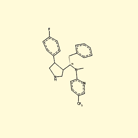 CN(c1ccc(C(F)(F)F)cn1)[C@@H](Cc1ccccc1)C1CNCC1c1ccc(F)cc1